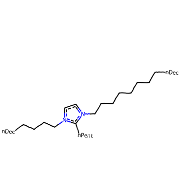 CCCCCCCCCCCCCCCCCCn1cc[n+](CCCCCCCCCCCCCC)c1CCCCC